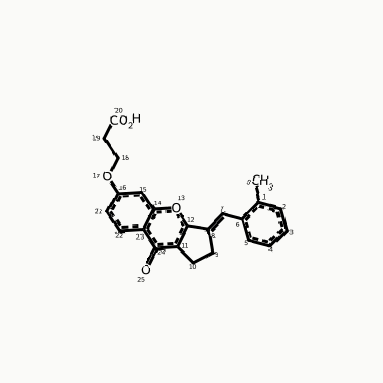 Cc1ccccc1/C=C1\CCc2c1oc1cc(OCCC(=O)O)ccc1c2=O